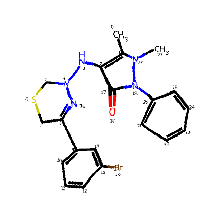 Cc1c(NN2CSCC(c3cccc(Br)c3)=N2)c(=O)n(-c2ccccc2)n1C